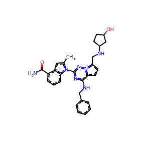 Cc1cc2c(C(N)=O)cccc2n1-c1nc(NCc2ccccc2)c2ccc(CNC3CCC(O)C3)n2n1